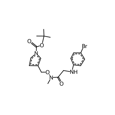 CN(OCc1ccn(C(=O)OC(C)(C)C)c1)C(=O)CNc1ccc(Br)cc1